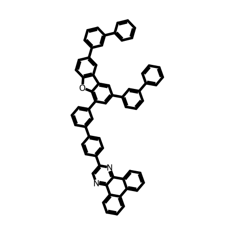 c1ccc(-c2cccc(-c3ccc4oc5c(-c6cccc(-c7ccc(-c8cnc9c%10ccccc%10c%10ccccc%10c9n8)cc7)c6)cc(-c6cccc(-c7ccccc7)c6)cc5c4c3)c2)cc1